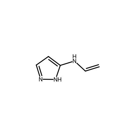 C=CNc1ccn[nH]1